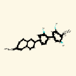 CCCCCC1CCC2CC(c3ccc(-c4cc(F)c(OC)c(F)c4)c(F)c3)CCC2C1